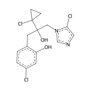 Oc1cc(Cl)ccc1CC(O)(Cn1cncc1Cl)C1(Cl)CC1